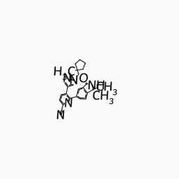 CC1(Cn2cc(-c3ccc(C#N)nc3-c3ccc4c(c3)C(=O)NC4(C)C)cn2)CCCC1